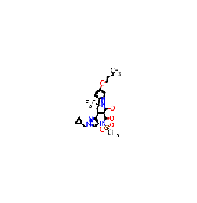 CS(=O)(=O)NC(=O)C1=C(c2ccn(CC3CC3)n2)CC(c2ccc(OCCCC(F)(F)F)cc2)(C(F)(F)F)NC1=O